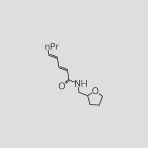 CCC/C=C/C=C/C(=O)NCC1CCCO1